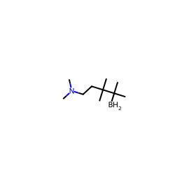 BC(C)(C)C(C)(C)CCN(C)C